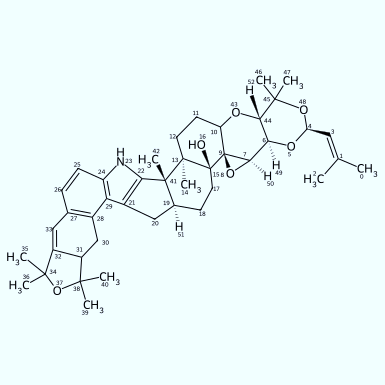 CC(C)=C[C@H]1O[C@H]2[C@H]3O[C@@]34C(CC[C@@]3(C)[C@@]4(O)CC[C@H]4Cc5c([nH]c6ccc7c(c56)CC5C(=C7)C(C)(C)OC5(C)C)[C@@]43C)O[C@@H]2C(C)(C)O1